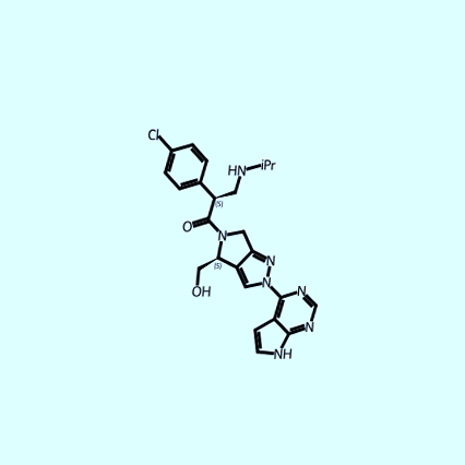 CC(C)NC[C@@H](C(=O)N1Cc2nn(-c3ncnc4[nH]ccc34)cc2[C@H]1CO)c1ccc(Cl)cc1